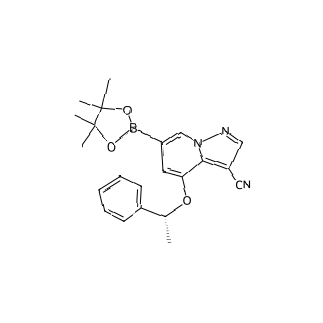 C[C@@H](Oc1cc(B2OC(C)(C)C(C)(C)O2)cn2ncc(C#N)c12)c1ccccc1